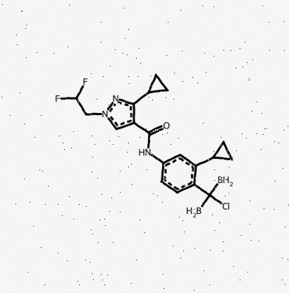 BC(B)(Cl)c1ccc(NC(=O)c2cn(CC(F)F)nc2C2CC2)cc1C1CC1